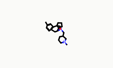 Cc1ccc2c(c1)C13CCCC1(C)C(C2)N(CC1CCCN(C)C1)CC3